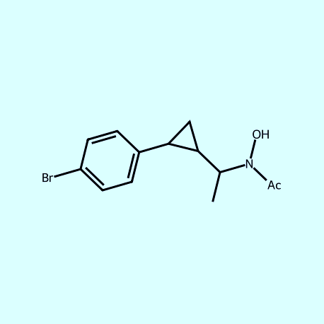 CC(=O)N(O)C(C)C1CC1c1ccc(Br)cc1